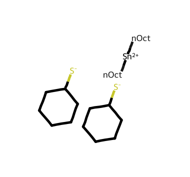 CCCCCCC[CH2][Sn+2][CH2]CCCCCCC.[S-]C1CCCCC1.[S-]C1CCCCC1